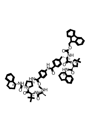 CN[C@@H](C)C(=O)N[C@H](C(=O)N1C[C@@H](NC(=O)c2ccc(NC(=O)c3ccc(C[C@H](NC(=O)OCC4c5ccccc5-c5ccccc54)C(=O)N4C[Si](C)(C)C[C@H]4C(=O)N[C@@H]4CCCc5ccccc54)cc3)cc2)C[C@H]1C(=O)N[C@@H]1CCCc2ccccc21)C(C)(C)C